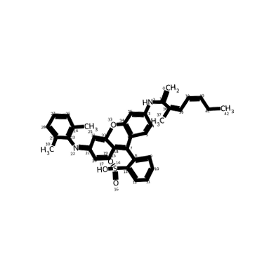 C=C(Nc1ccc2c(-c3ccccc3S(=O)(=O)O)c3cc/c(=N/c4c(C)cccc4C)cc-3oc2c1)/C(C)=C\C=C/CC